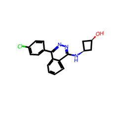 O[C@H]1C[C@@H](Nc2nnc(-c3ccc(Cl)cc3)c3ccccc23)C1